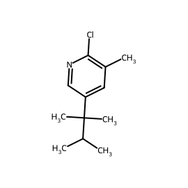 Cc1cc(C(C)(C)C(C)C)cnc1Cl